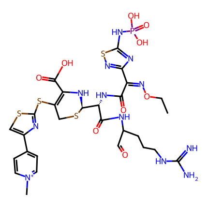 CCO/N=C(\C(=O)N[C@H](C(=O)NC(C=O)CCCNC(=N)N)[C@@H]1NC(C(=O)O)=C(Sc2nc(-c3cc[n+](C)cc3)cs2)CS1)c1nsc(NP(=O)(O)O)n1